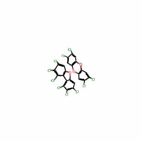 Clc1cc2c(cc1Cl)Oc1cc(Cl)c(Cl)cc1O2.Clc1cc2oc3cc(Cl)c(Cl)c(Cl)c3c2c(Cl)c1Cl